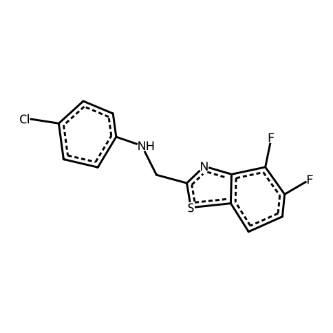 Fc1ccc2sc(CNc3ccc(Cl)cc3)nc2c1F